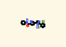 O=C(Nc1ccccc1)c1ccc(-c2cnc(-c3c(F)cccc3Cl)[nH]2)cn1